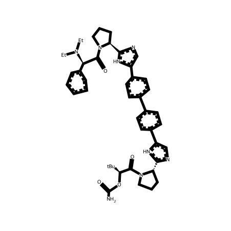 CCN(CC)[C@@H](C(=O)N1CCC[C@H]1c1ncc(-c2ccc(-c3ccc(-c4cnc([C@@H]5CCCN5C(=O)[C@@H](OC(N)=O)C(C)(C)C)[nH]4)cc3)cc2)[nH]1)c1ccccc1